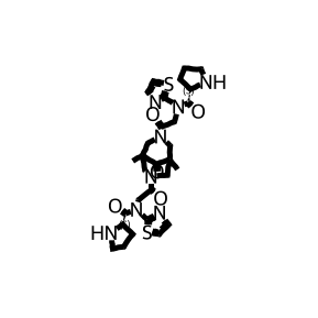 CC12CN(C(=O)CN(C(=O)[C@@H]3CCCN3)c3nccs3)CC(C)(CN(C(=O)CN(C(=O)[C@@H]3CCCN3)c3nccs3)C1)C2=O